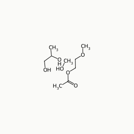 CC(O)CO.CO.COCCOC(C)=O